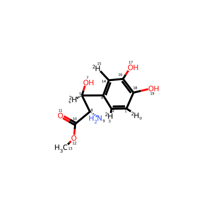 [2H]c1c([2H])c([C@]([2H])(O)[C@H](N)C(=O)OC)c([2H])c(O)c1O